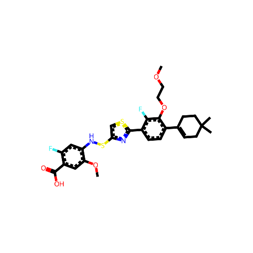 COCCOc1c(C2=CCC(C)(C)CC2)ccc(-c2nc(SNc3cc(F)c(C(=O)O)cc3OC)cs2)c1F